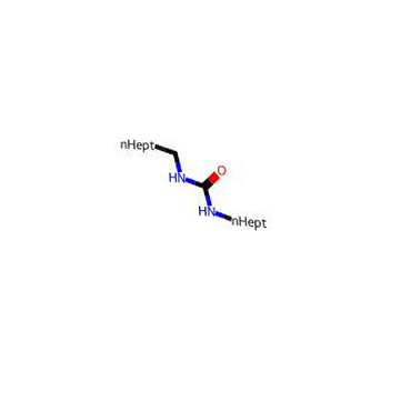 CCCCCCCCNC(=O)NCCCCCCC